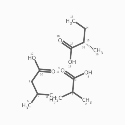 CC(C)C(=O)O.CC(C)CC(=O)O.CC[C@H](C)C(=O)O